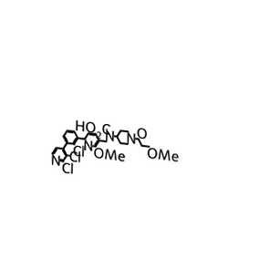 COCCC(=O)N1CCC(N(Cc2ccc(-c3cccc(-c4ccnc(Cl)c4Cl)c3Cl)nc2OC)C(=O)O)CC1